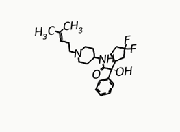 CC(C)=CCCN1CCC(NC(=O)[C@](O)(c2ccccc2)[C@H]2CCC(F)(F)C2)CC1